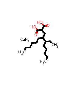 CCCCCCC(CC(C(=O)O)C(=O)O)C(CC)CCCCC.[CaH2]